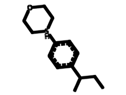 CCC(C)c1ccc([SH]2CCOCC2)cc1